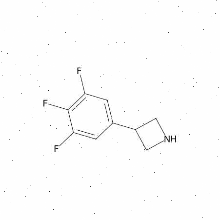 Fc1cc(C2CNC2)cc(F)c1F